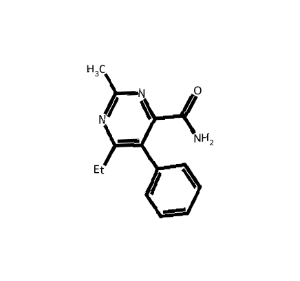 CCc1nc(C)nc(C(N)=O)c1-c1ccccc1